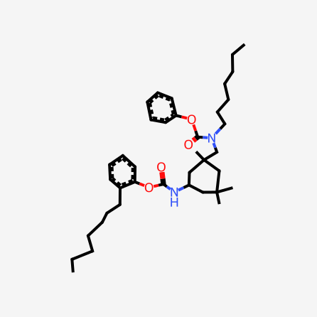 CCCCCCCc1ccccc1OC(=O)NC1CC(C)(C)CC(C)(CN(CCCCCCC)C(=O)Oc2ccccc2)C1